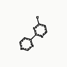 Clc1ccnc(-c2ccncn2)n1